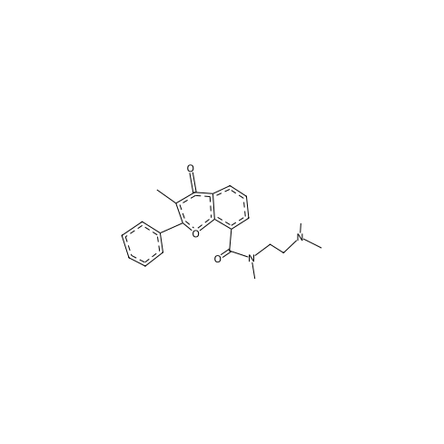 Cc1c(-c2ccccc2)oc2c(C(=O)N(C)CCN(C)C)cccc2c1=O